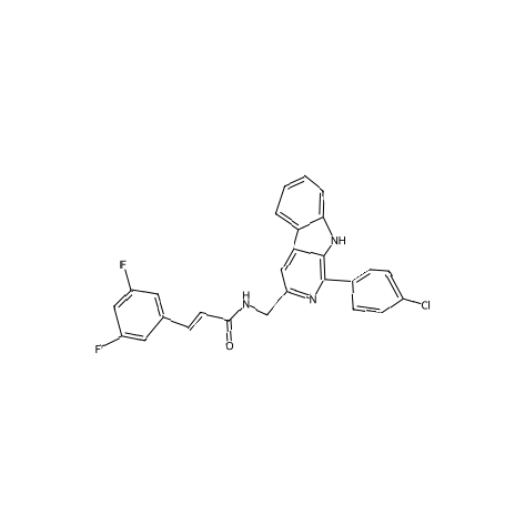 O=C(/C=C/c1cc(F)cc(F)c1)NCc1cc2c([nH]c3ccccc32)c(-c2ccc(Cl)cc2)n1